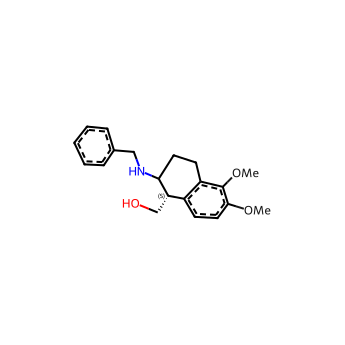 COc1ccc2c(c1OC)CCC(NCc1ccccc1)[C@H]2CO